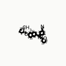 CN1CCC[C@@H]1COc1ccc2cc(-c3nn(C4CCCCO4)c4ccc(C#N)cc34)ccc2c1